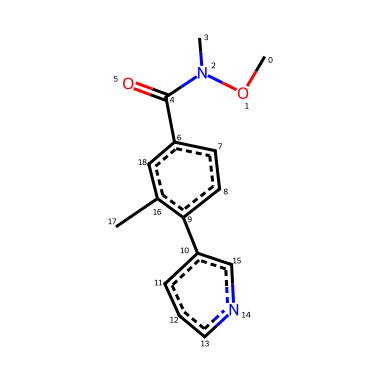 CON(C)C(=O)c1ccc(-c2cccnc2)c(C)c1